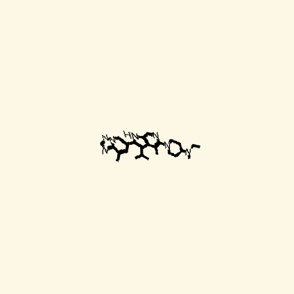 CCN(C)C1CCN(c2ncc3[nH]c(-c4cc(C)c5ncnn5c4)c(C(C)C)c3c2C)CC1